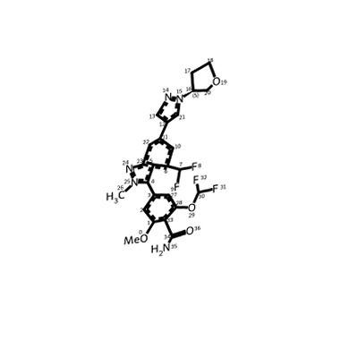 COc1cc(-c2c3c(C(F)F)cc(-c4cnn([C@H]5CCOC5)c4)cc3nn2C)cc(OC(F)F)c1C(N)=O